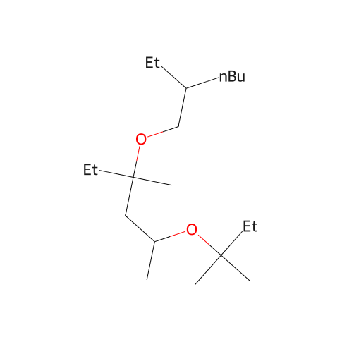 CCCCC(CC)COC(C)(CC)CC(C)OC(C)(C)CC